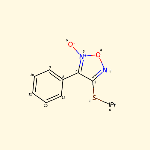 CC(C)Sc1no[n+]([O-])c1-c1ccccc1